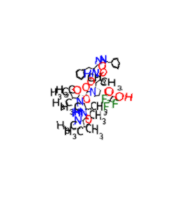 CC[C@H](C)[C@@H]([C@@H](CC(=O)N1CCC[C@H]1[C@H](OC)[C@@H](C)C(=O)N[C@@H](Cc1ccccc1)c1nnc(-c2ccccc2)o1)OC)N(C)C(=O)[C@@H](NC(=O)[C@@H](NC)C(C)C)C(C)C.O=C(O)C(F)(F)F